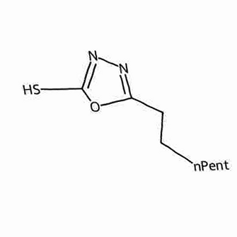 CCCCCCCc1nnc(S)o1